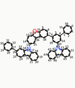 c1ccc(-c2cc(-c3ccc4oc5ccc(-n6c7ccccc7c7ccc(-c8ccccc8)cc76)cc5c4c3)cc(-n3c4ccccc4c4ccccc43)c2)cc1